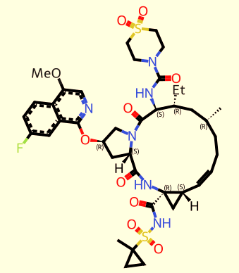 CC[C@@H]1C[C@H](C)CCC=C[C@@H]2C[C@@]2(C(=O)NS(=O)(=O)C2(C)CC2)NC(=O)[C@@H]2C[C@@H](Oc3ncc(OC)c4ccc(F)cc34)CN2C(=O)[C@H]1NC(=O)N1CCS(=O)(=O)CC1